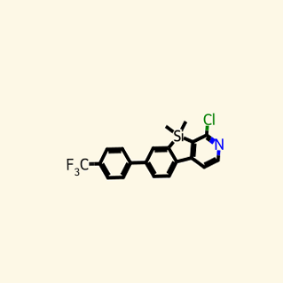 C[Si]1(C)c2cc(-c3ccc(C(F)(F)F)cc3)ccc2-c2ccnc(Cl)c21